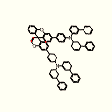 C1=CCC(c2cccc(N(c3ccc(-c4ccc5c(c4)Oc4ccccc4C54c5ccccc5Oc5cc(C6C=CC(N(C7=CC(c8ccccc8)CC=C7)C7CC=CC(c8ccccc8)C7)CC6)ccc54)cc3)C3CC=CC(c4ccccc4)C3)c2)C=C1